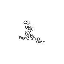 CCOC[C@@H]1CC[C@@H](c2ncc(CCC(=O)OC)s2)N1C(=O)Cc1cc(Cl)c(NC(=O)c2coc3ccccc23)cc1F